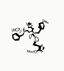 COc1ccc(CN(C(=O)OCc2scnc2OC)C(CCN(Cc2ccccc2)C(=O)O)Cc2cncs2)cc1